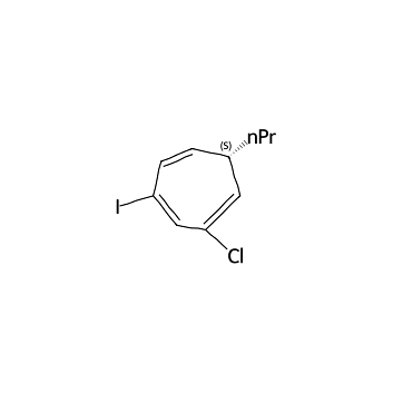 CCC[C@H]1C=CC(I)=CC(Cl)=C1